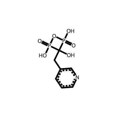 O=P1(O)OP(=O)(O)C1(O)Cc1cccnc1